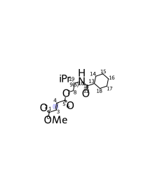 COC(=O)/C=C/C(=O)OC[C@@H](NC(=O)C1CCCCC1)C(C)C